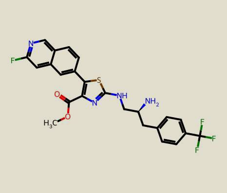 COC(=O)c1nc(NC[C@@H](N)Cc2ccc(C(F)(F)F)cc2)sc1-c1ccc2cnc(F)cc2c1